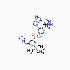 Cc1ccc(NC(=O)c2cc(CN3CCCC3)cc(C(C)(C)C)c2)cc1-n1ccc2ncc(-c3cn[nH]c3)n21